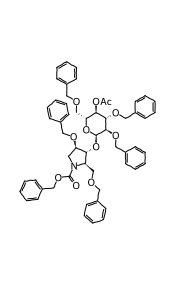 CC(=O)O[C@H]1[C@H](OCc2ccccc2)[C@@H](OCc2ccccc2)[C@@H](O[C@@H]2[C@@H](COCc3ccccc3)N(C(=O)OCc3ccccc3)C[C@H]2OCc2ccccc2)O[C@@H]1COCc1ccccc1